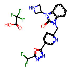 O=C(O)C(F)(F)F.O=c1n(Cc2ccc(-c3nnc(C(F)F)o3)cn2)c2ccccc2n1C1CNC1